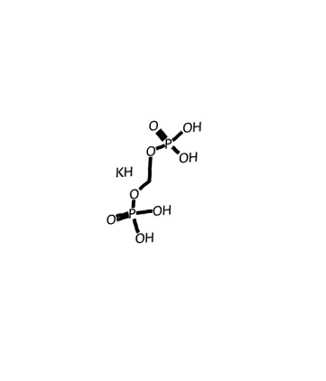 O=P(O)(O)OCOP(=O)(O)O.[KH]